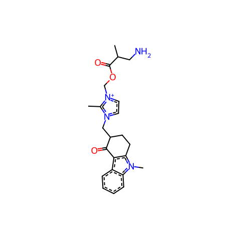 Cc1n(CC2CCc3c(c4ccccc4n3C)C2=O)cc[n+]1COC(=O)C(C)CN